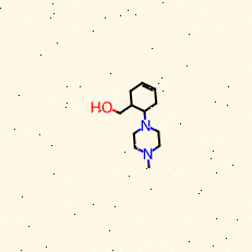 CN1CCN(C2CC=CCC2CO)CC1